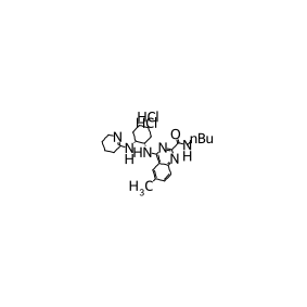 CCCCNC(=O)c1nc(N[C@H]2CCCC[C@H]2NC2=NCCCC2)c2cc(C)ccc2n1.Cl.Cl